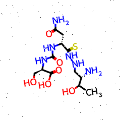 CC(O)[C@@H](N)CNNC(=S)[C@@H](CC(N)=O)NC(=O)N[C@H](CO)C(=O)O